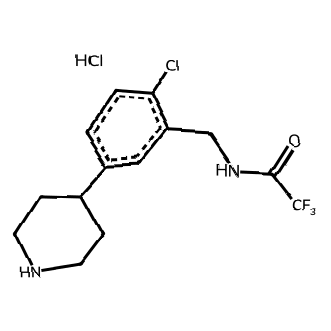 Cl.O=C(NCc1cc(C2CCNCC2)ccc1Cl)C(F)(F)F